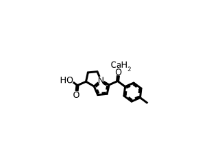 Cc1ccc(C(=O)c2ccc3n2CCC3C(=O)O)cc1.[CaH2]